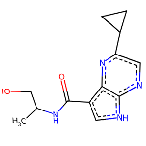 CC(CO)NC(=O)c1c[nH]c2ncc(C3CC3)nc12